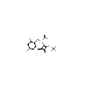 CCCC(=O)N(Cc1ccc(Cl)cc1Cl)c1c(NC(C)(C)CC)c(=O)c1=O